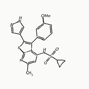 COc1cccc(-c2c(-c3cn[nH]c3)sc3nc(C)cc(NS(=O)(=O)C4CC4)c23)c1